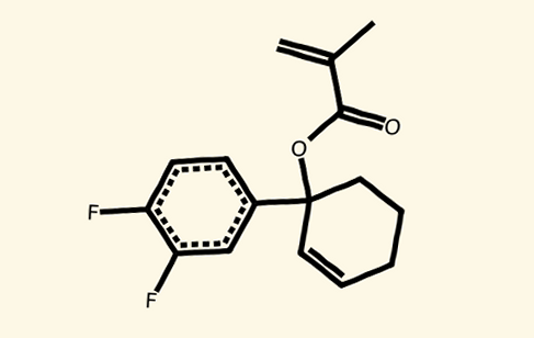 C=C(C)C(=O)OC1(c2ccc(F)c(F)c2)C=CCCC1